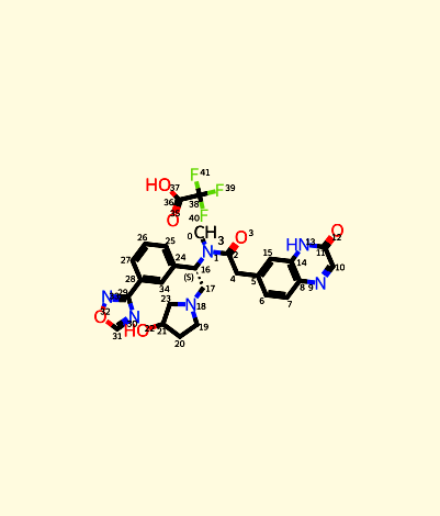 CN(C(=O)Cc1ccc2ncc(=O)[nH]c2c1)[C@H](CN1CCC(O)C1)c1cccc(-c2ncon2)c1.O=C(O)C(F)(F)F